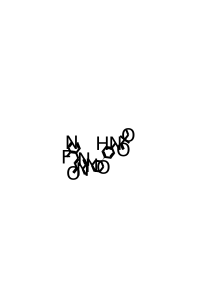 COC(C)(C)C(=O)Nc1ccc([C@H]2CN(c3nc(-c4ccncc4F)cc(=O)n3C)CCO2)cc1